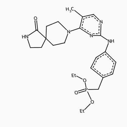 CCOP(=O)(Cc1ccc(Nc2ncc(C)c(N3CCC4(CCNC4=O)CC3)n2)cc1)OCC